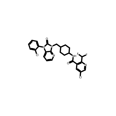 O=C(NC1CCC(Cn2c(=O)n(-c3ccccc3Cl)c3cccnc32)CC1)c1cc(Cl)cnc1C(F)F